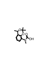 CC1OC(C)(C)Oc2c1cccc2N(C)C(=O)O